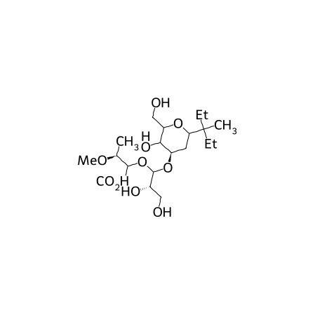 CCC(C)(CC)C1C[C@@H](OC(OC(C(=O)O)[C@H](C)OC)[C@@H](O)CO)C(O)C(CO)O1